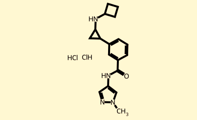 Cl.Cl.Cn1cc(NC(=O)c2cccc(C3CC3NC3CCC3)c2)cn1